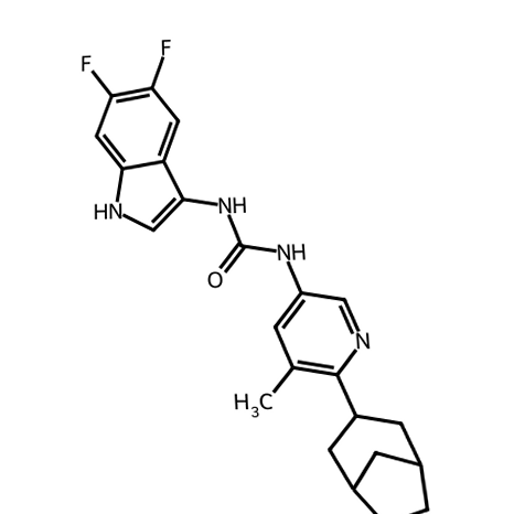 Cc1cc(NC(=O)Nc2c[nH]c3cc(F)c(F)cc23)cnc1C1CC2CCC(C2)C1